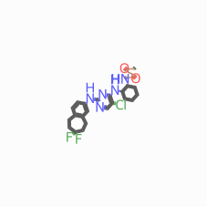 CS(=O)(=O)N[C@@H]1CCCC[C@H]1Nc1nc(Nc2ccc3c(c2)CCC(F)(F)CC3)ncc1Cl